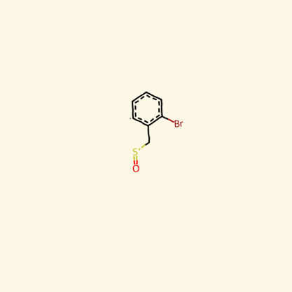 O=[S+]Cc1[c]cccc1Br